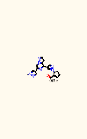 COC(=O)C1CCCC1n1cc(-c2nc(-c3cnn(C)c3)cn3nccc23)cn1